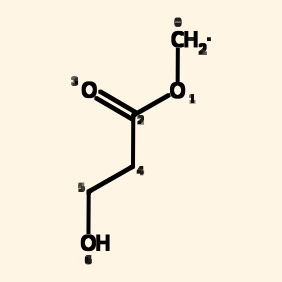 [CH2]OC(=O)CCO